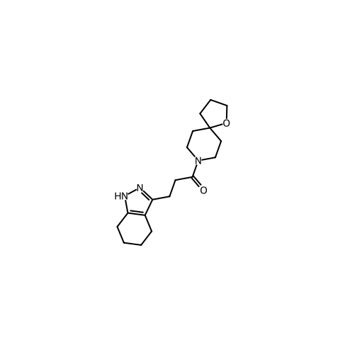 O=C(CCc1n[nH]c2c1CCCC2)N1CCC2(CCCO2)CC1